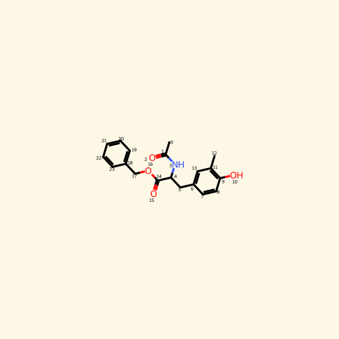 CC(=O)NC(Cc1ccc(O)c(C)c1)C(=O)OCc1ccccc1